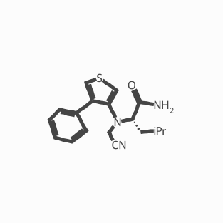 CC(C)C[C@@H](C(N)=O)N(CC#N)c1cscc1-c1ccccc1